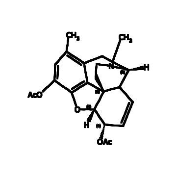 CC(=O)Oc1cc(C)c2c3c1O[C@H]1[C@@H](OC(C)=O)C=CC4[C@@H](C2)N(C)CC[C@@]341